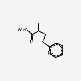 CNC(=O)C(C)SSc1ccccn1